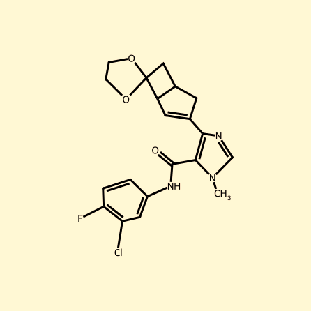 Cn1cnc(C2=CC3C(C2)CC32OCCO2)c1C(=O)Nc1ccc(F)c(Cl)c1